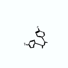 CC(=C(C)c1ccc(F)cc1)c1ccc(F)cc1